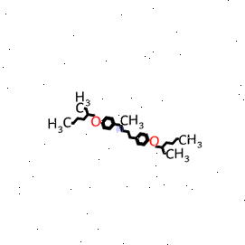 CCCCC(CC)COc1ccc(CC/C=C(\C)c2ccc(OCC(CC)CCCC)cc2)cc1